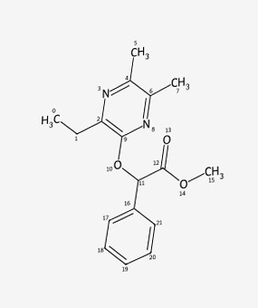 CCc1nc(C)c(C)nc1OC(C(=O)OC)c1ccccc1